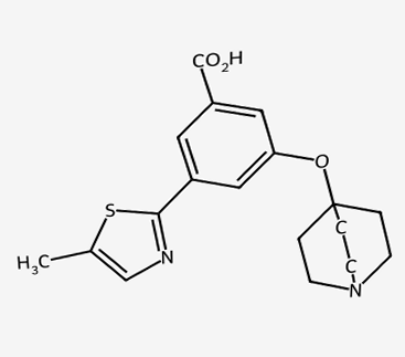 Cc1cnc(-c2cc(OC34CCN(CC3)CC4)cc(C(=O)O)c2)s1